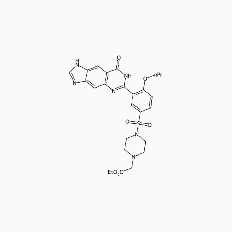 CCCOc1ccc(S(=O)(=O)N2CCN(CC(=O)OCC)CC2)cc1-c1nc2cc3nc[nH]c3cc2c(=O)[nH]1